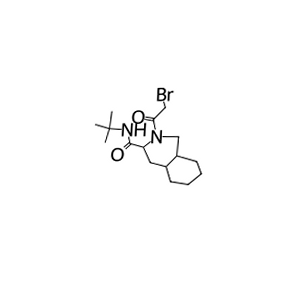 CC(C)(C)NC(=O)C1CC2CCCCC2CN1C(=O)CBr